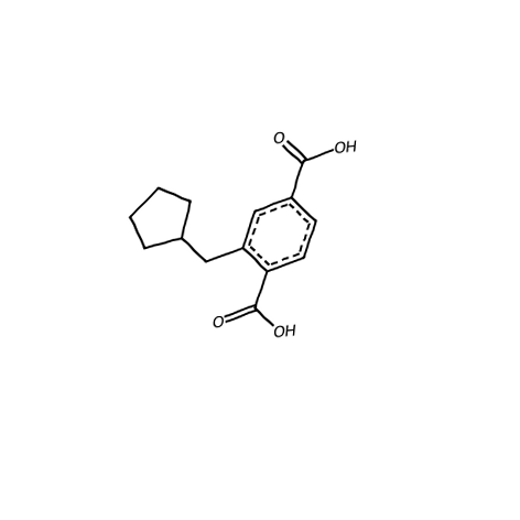 O=C(O)c1ccc(C(=O)O)c(CC2CCCC2)c1